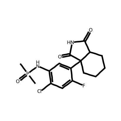 CP(C)(=O)Nc1cc(C23CCCCC2C(=O)NC3=O)c(F)cc1Cl